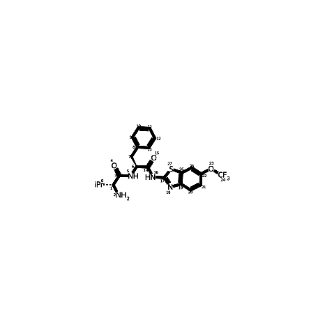 CC(C)[C@@H](N)C(=O)N[C@@H](Cc1ccccc1)C(=O)Nc1nc2ccc(OC(F)(F)F)cc2s1